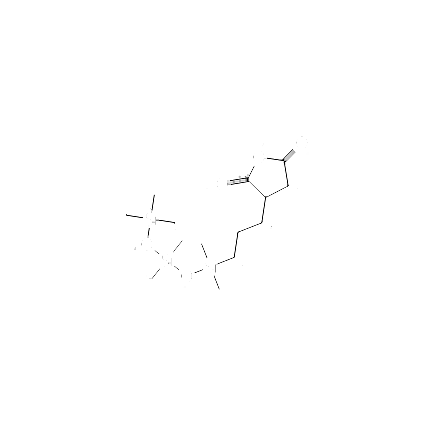 C[Si](C)(C)O[Si](C)(C)O[Si](C)(C)CCCC1CC(=O)OC1=O